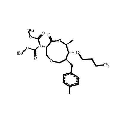 Cc1ccc(C[C@H]2COC[C@H](N(C(=O)OC(C)(C)C)C(=O)OC(C)(C)C)C(=O)O[C@@H](C)[C@@H]2OCCCC(F)(F)F)cc1